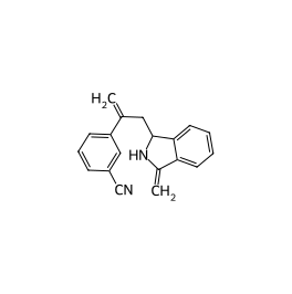 C=C(CC1NC(=C)c2ccccc21)c1cccc(C#N)c1